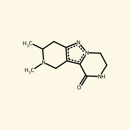 CC1Cc2nn3c(c2CN1C)C(=O)NCC3